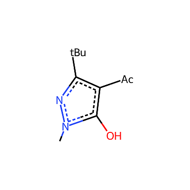 CC(=O)c1c(C(C)(C)C)nn(C)c1O